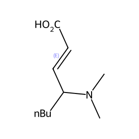 CCCCC(/C=C/C(=O)O)N(C)C